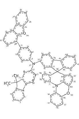 CC1(C)c2ccccc2-c2ccc(N(c3ccc(-c4cccc5c4oc4ccccc45)cc3)c3ccc4c(c3)C3(c5ccccc5-4)c4ccccc4N4c5ccccc5Oc5cccc3c54)cc21